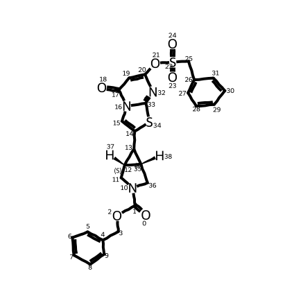 O=C(OCc1ccccc1)N1C[C@@H]2C(c3cn4c(=O)cc(OS(=O)(=O)Cc5ccccc5)nc4s3)[C@@H]2C1